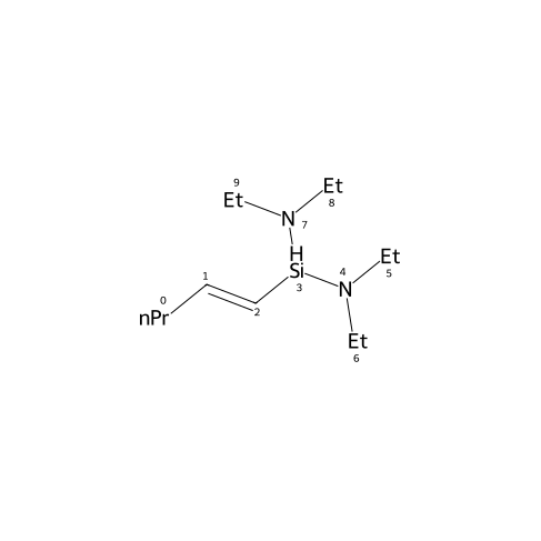 CCCC=C[SiH](N(CC)CC)N(CC)CC